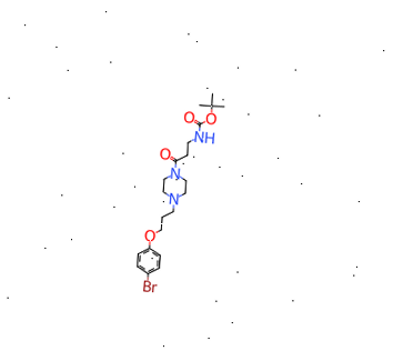 CC(C)(C)OC(=O)NCCC(=O)N1CCN(CCCOc2ccc(Br)cc2)CC1